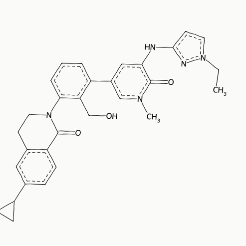 CCn1ccc(Nc2cc(-c3cccc(N4CCc5cc(C6CC6)ccc5C4=O)c3CO)cn(C)c2=O)n1